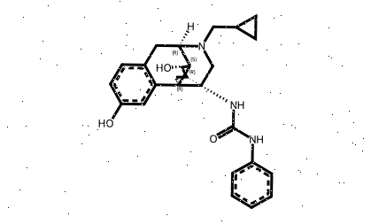 O=C(Nc1ccccc1)N[C@@H]1C[C@]23CCN(CC4CC4)[C@H](Cc4ccc(O)cc42)[C@]3(O)C1